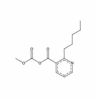 CCCCCc1ncccc1C(=O)OC(=O)OC